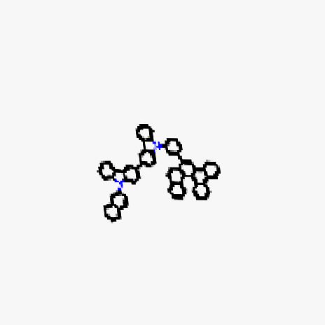 c1cc(-c2cc3c4ccccc4c4ccccc4c3c3c2ccc2ccccc23)cc(-n2c3ccccc3c3cc(-c4ccc5c(c4)c4ccccc4n5-c4ccc5ccccc5c4)ccc32)c1